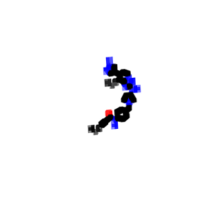 CC#CC(=O)Nc1ccc(CN2CC[C@@H](Nc3nc4c(C)c(-c5cn[nH]c5)ccn4n3)C2)cc1